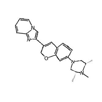 C[C@@H]1CN(c2ccc3c(c2)OCC(c2cn4ccccc4n2)=C3)C[C@H](C)N1C